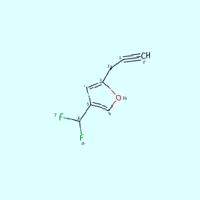 C#C[CH]c1cc(C(F)F)co1